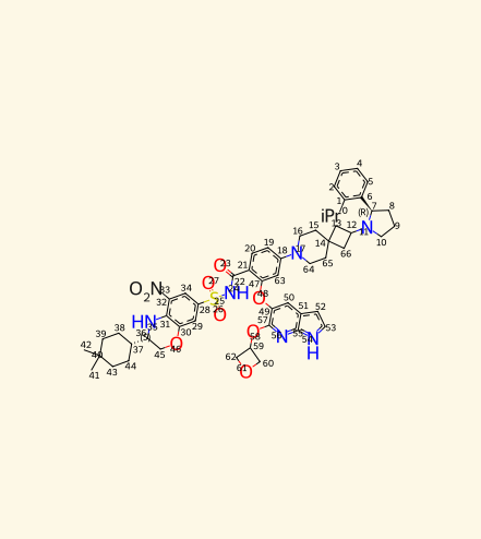 CC(C)c1ccccc1[C@H]1CCCN1C1CC2(CCN(c3ccc(C(=O)NS(=O)(=O)c4cc5c(c([N+](=O)[O-])c4)N[C@@H](C4CCC(C)(C)CC4)CO5)c(Oc4cc5cc[nH]c5nc4OC4COC4)c3)CC2)C1